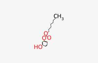 CCCCCCCCOC(=O)Oc1cccc(O)c1